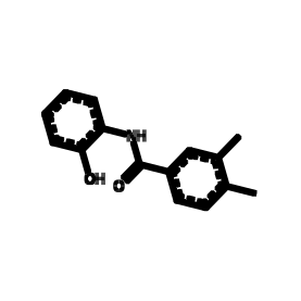 Cc1ccc(C(=O)Nc2ccccc2O)cc1C